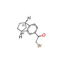 O=C(CBr)c1ccc2c(c1)[C@@H]1CC[C@H]2C1